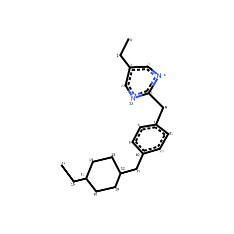 CCc1cnc(Cc2ccc(CC3CCC(CC)CC3)cc2)nc1